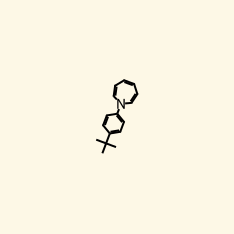 CC(C)(C)c1ccc(N2C=CC=CC=C2)cc1